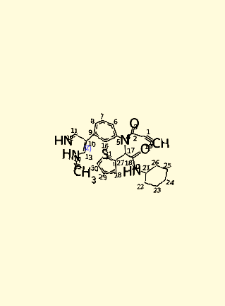 C#CC(=O)N(c1cccc(/C(C=N)=C/NC)c1)C(C(=O)NC1CCCCC1)c1cccs1